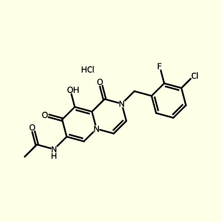 CC(=O)Nc1cn2ccn(Cc3cccc(Cl)c3F)c(=O)c2c(O)c1=O.Cl